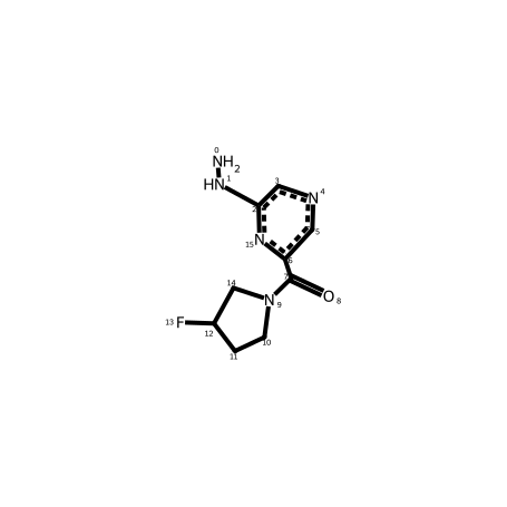 NNc1cncc(C(=O)N2CCC(F)C2)n1